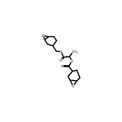 CC(OC(=O)C1CCC2OC2C1)C(=O)OCC1CCC2OC2C1